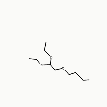 CCCCOCC(OCC)OCC